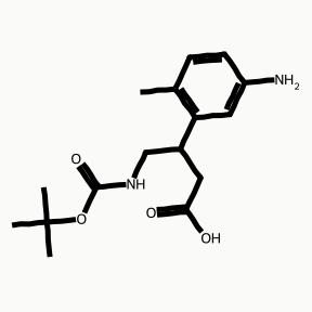 Cc1ccc(N)cc1C(CNC(=O)OC(C)(C)C)CC(=O)O